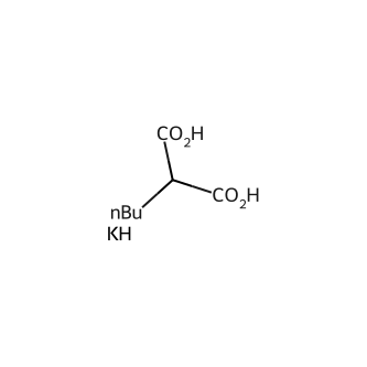 CCCCC(C(=O)O)C(=O)O.[KH]